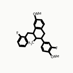 COc1ccc2c(c1)C(Cc1ccccc1F)C(C)C(c1ccc(OC)c(F)c1)C2